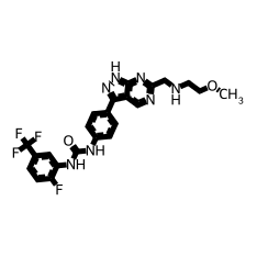 COCCNCc1ncc2c(-c3ccc(NC(=O)Nc4cc(C(F)(F)F)ccc4F)cc3)n[nH]c2n1